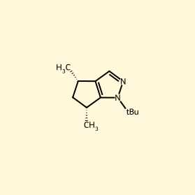 C[C@@H]1C[C@H](C)c2cnn(C(C)(C)C)c21